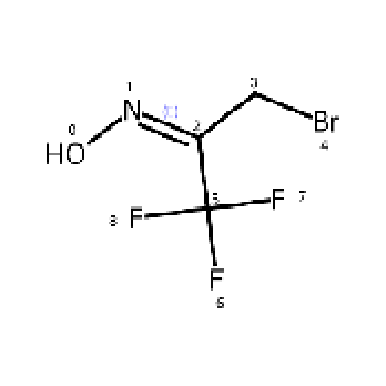 O/N=C(/CBr)C(F)(F)F